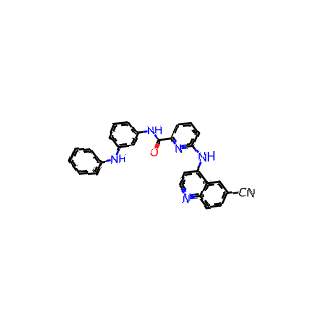 N#Cc1ccc2nccc(Nc3cccc(C(=O)Nc4cccc(Nc5ccccc5)c4)n3)c2c1